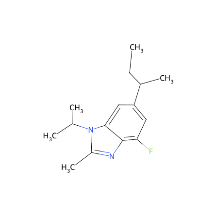 CCC(C)c1cc(F)c2nc(C)n(C(C)C)c2c1